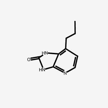 CCCc1ccnc2[nH]c(=O)[nH]c12